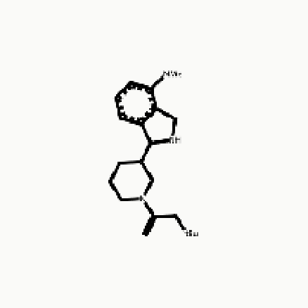 C=C(CC(C)(C)C)N1CCCC(C2NCc3c(NC)cccc32)C1